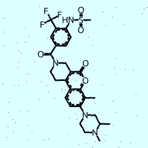 Cc1c(N2CCN(C)C(C)C2)ccc2c3c(c(=O)oc12)CN(C(=O)c1ccc(NS(C)(=O)=O)c(C(F)(F)F)c1)CC3